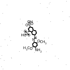 COc1cc(N=Nc2ccc3cc(S(=O)(=O)O)cc(S(=O)(=O)O)c3c2)c(OC)cc1N